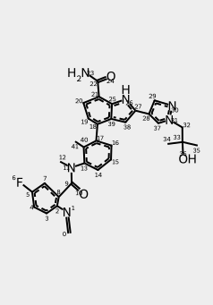 C=Nc1ccc(F)cc1C(=O)N(C)c1cccc(-c2ccc(C(N)=O)c3[nH]c(-c4cnn(CC(C)(C)O)c4)cc23)c1C